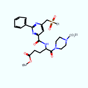 CCOC(=O)N1CCN(C(=O)C(CCC(=O)OC(C)(C)C)NC(=O)c2cc(CS(=O)(=O)CC)nc(-c3ccccc3)n2)CC1